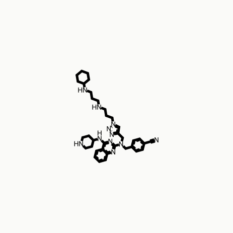 N#Cc1ccc(CN(Cc2cn(CCCNCCCNC3CCCCC3)nn2)c2nc(NC3CCNCC3)c3ccccc3n2)cc1